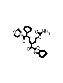 NC(=O)OCCC(CCC(C(=O)N1CCOCC1)C1CCCCC1)C(=O)c1nc2ccccc2o1